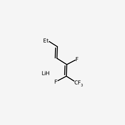 CCC=CC(F)=C(F)C(F)(F)F.[LiH]